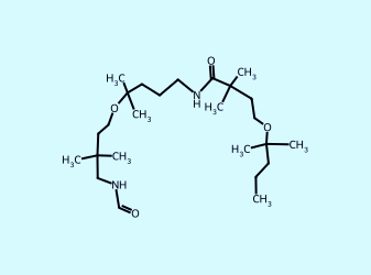 CCCC(C)(C)OCCC(C)(C)C(=O)NCCCC(C)(C)OCCC(C)(C)CNC=O